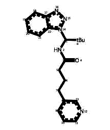 CC(C)(C)C(NC(=O)CCCc1cccnc1)n1nnc2ccccc21